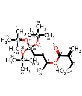 C=C(CC(=O)O)C(=O)OC(CC[Si](O[Si](C)(C)C)(O[Si](C)(C)C)O[Si](C)(C)C)C(C)C